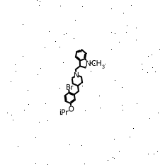 CC(C)Oc1ccc(Br)c(CC2CCN(CC3CN(C)c4ccccc43)CC2)c1